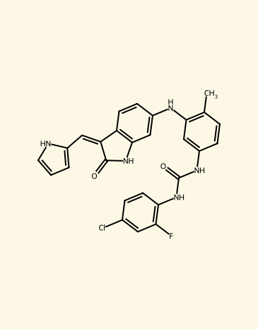 Cc1ccc(NC(=O)Nc2ccc(Cl)cc2F)cc1Nc1ccc2c(c1)NC(=O)C2=Cc1ccc[nH]1